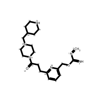 C=NC(=N)SCc1cccc(CCC(=O)N2CCN(CC3CCNCC3)CC2)n1